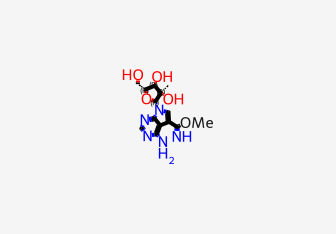 COC(=N)c1cn([C@@H]2O[C@H](CO)[C@@H](O)[C@@]2(C)O)c2ncnc(N)c12